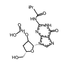 CC(C)C(=O)Nc1nc2c(ncn2[C@@H]2O[C@H](CO)CC2O[PH](=O)O)c(=O)[nH]1